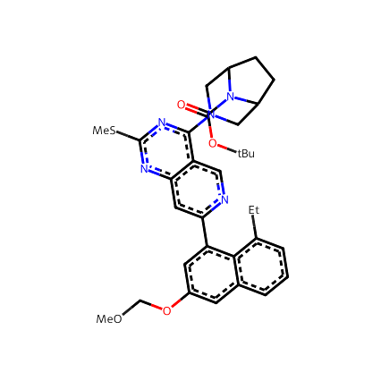 CCc1cccc2cc(OCOC)cc(-c3cc4nc(SC)nc(N5CC6CCC(C5)N6C(=O)OC(C)(C)C)c4cn3)c12